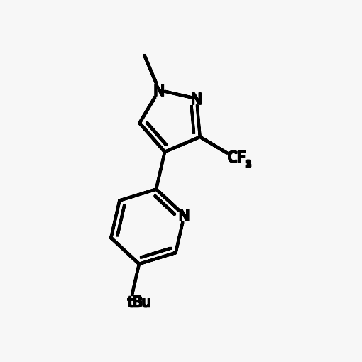 Cn1cc(-c2ccc(C(C)(C)C)cn2)c(C(F)(F)F)n1